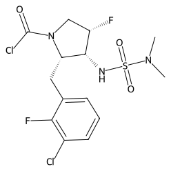 CN(C)S(=O)(=O)N[C@H]1[C@@H](F)CN(C(=O)Cl)[C@H]1Cc1cccc(Cl)c1F